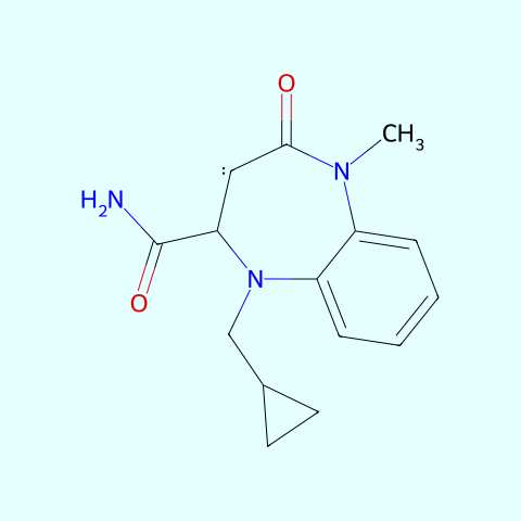 CN1C(=O)[C]C(C(N)=O)N(CC2CC2)c2ccccc21